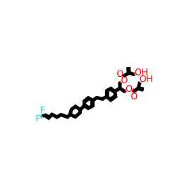 C=C(CO)C(=O)OCC(COC(=O)C(=C)CO)c1ccc(CCc2ccc(C3CCC(CCCCC=C(F)F)CC3)cc2)cc1